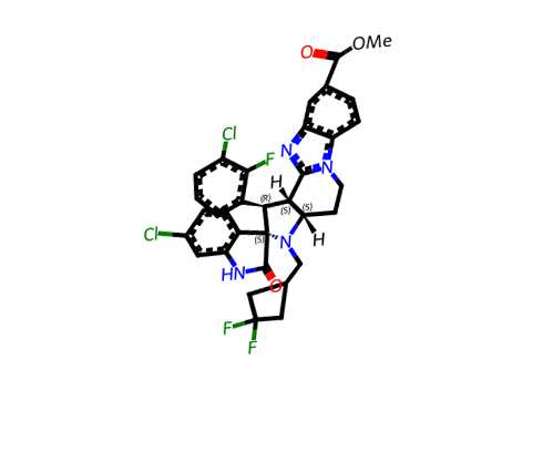 COC(=O)c1ccc2c(c1)nc1n2CC[C@H]2[C@@H]1[C@H](c1cccc(Cl)c1F)[C@]1(C(=O)Nc3cc(Cl)ccc31)N2CC1CC(F)(F)C1